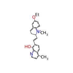 CCOc1ccc2c(c1)=CCC(/C=C/c1ccc3c(C)ccnc3c1O)[N+]=2C